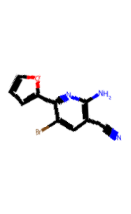 N#Cc1cc(Br)c(-c2ccco2)nc1N